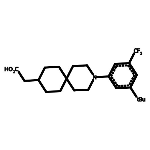 CC(C)(C)c1cc(N2CCC3(CCC(CC(=O)O)CC3)CC2)cc(C(F)(F)F)c1